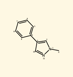 Cn1cc(-c2ccccc2)[c]n1